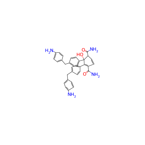 NC(=O)C1=C(c2ccc(Cc3ccc(N)cc3)cc2)C(O)(c2ccc(Cc3ccc(N)cc3)cc2)C(C(N)=O)C=C1